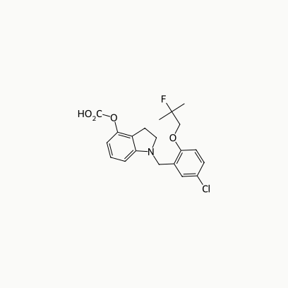 CC(C)(F)COc1ccc(Cl)cc1CN1CCc2c(OC(=O)O)cccc21